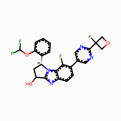 OC1C[C@H](c2ccccc2OC(F)F)n2c1nc1ccc(-c3cnc(C4(F)COC4)nc3)c(F)c12